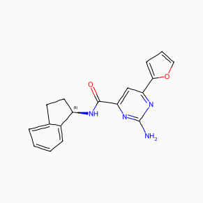 Nc1nc(C(=O)N[C@@H]2CCc3ccccc32)cc(-c2ccco2)n1